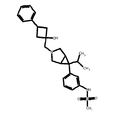 CC(C)C1(c2cccc(NS(C)(=O)=O)c2)C2CN(CC3(O)CC(c4ccccc4)C3)CC21